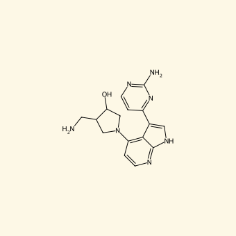 NCC1CN(c2ccnc3[nH]cc(-c4ccnc(N)n4)c23)CC1O